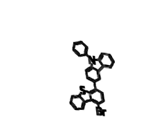 Brc1ccc(-c2ccc3c(c2)c2ccccc2n3-c2ccccc2)c2sc3ccccc3c12